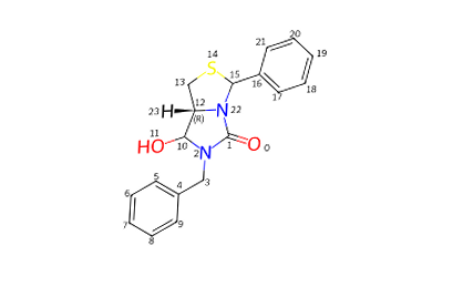 O=C1N(Cc2ccccc2)C(O)[C@@H]2CSC(c3ccccc3)N12